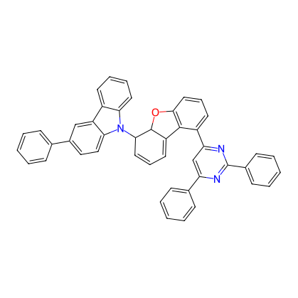 C1=CC(n2c3ccccc3c3cc(-c4ccccc4)ccc32)C2Oc3cccc(-c4cc(-c5ccccc5)nc(-c5ccccc5)n4)c3C2=C1